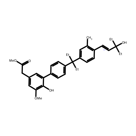 CCC(O)(/C=C/c1ccc(C(CC)(CC)c2ccc(-c3cc(CC(=O)OC)cc(OC)c3O)cc2)cc1C)CC